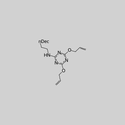 C=CCOc1nc(NCCCCCCCCCCCC)nc(OCC=C)n1